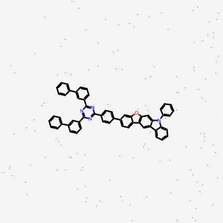 c1ccc(-c2cccc(-c3nc(-c4ccc(-c5ccc6c(c5)oc5cc7c(cc56)c5ccccc5n7-c5ccccc5)cc4)nc(-c4cccc(-c5ccccc5)c4)n3)c2)cc1